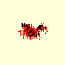 C[C@]12CCC(=O)C=C1CCC1C2[C@@H](O)C[C@@]2(C)C1CC[C@]2(O)C(=O)CO.C[C@]12CCC(=O)C=C1CCC1C2[C@@H](O)C[C@@]2(C)C1CC[C@]2(O)C(=O)CO.C[C@]12CCC(=O)C=C1CCC1C2[C@@H](O)C[C@@]2(C)C1CC[C@]2(O)C(=O)CO.C[C@]12CCC(=O)C=C1CCC1C2[C@@H](O)C[C@@]2(C)C1CC[C@]2(O)C(=O)CO.O=P([O-])([O-])[O-].[Na+].[Na+].[Na+]